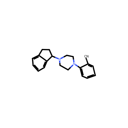 N#Cc1ccccc1N1CCN(C2CCc3ccccc32)CC1